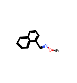 CC(C)O/N=C/c1cccc2ccccc12